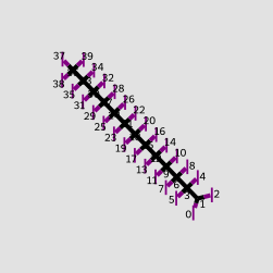 I[C](I)C(I)(I)C(I)(I)C(I)(I)C(I)(I)C(I)(I)C(I)(I)C(I)(I)C(I)(I)C(I)(I)C(I)(I)C(I)(I)C(I)(I)I